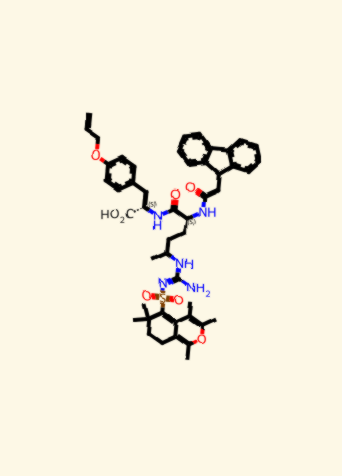 C=CCOc1ccc(C[C@H](NC(=O)[C@H](CCC(C)NC(N)=NS(=O)(=O)C2=C3C(C)=C(C)OC(C)=C3CCC2(C)C)NC(=O)CC2c3ccccc3-c3ccccc32)C(=O)O)cc1